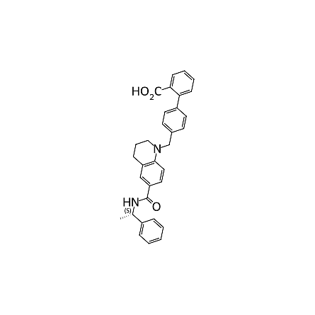 C[C@H](NC(=O)c1ccc2c(c1)CCCN2Cc1ccc(-c2ccccc2C(=O)O)cc1)c1ccccc1